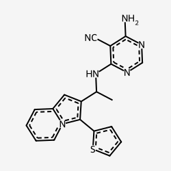 CC(Nc1ncnc(N)c1C#N)c1cc2ccccn2c1-c1cccs1